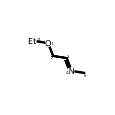 CCOCC=NC